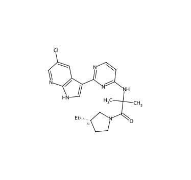 CC[C@H]1CCN(C(=O)C(C)(C)Nc2ccnc(-c3c[nH]c4ncc(Cl)cc34)n2)C1